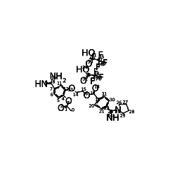 CC(=O)Oc1ccc(C(=N)N)cc1OCCOC(=O)c1ccc(C(=N)N2CCCC2)cc1.O=C(O)C(F)(F)F.O=C(O)C(F)(F)F